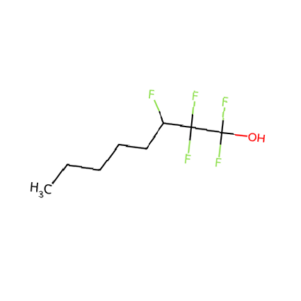 CCCCCC(F)C(F)(F)C(O)(F)F